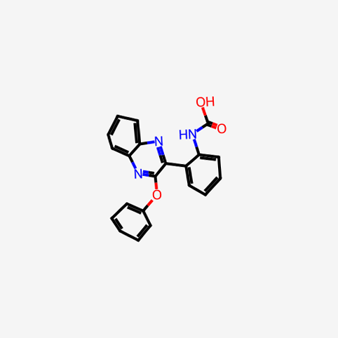 O=C(O)Nc1ccccc1-c1nc2ccccc2nc1Oc1ccccc1